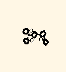 S=P12c3ccccc3Oc3cc(-c4cccc5c4oc4ccccc45)cc(c31)Oc1ccccc12